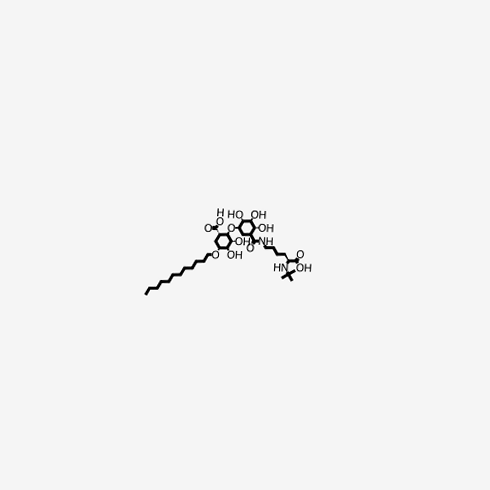 CCCCCCCCCCCCO[C@@H]1C[C@H](C(=O)O)[C@@H](O[C@@H]2CC(C(=O)NCCCC[C@H](NC(C)(C)C)C(=O)O)[C@@H](O)[C@H](O)[C@H]2O)[C@H](O)[C@H]1O